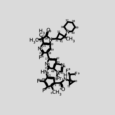 Cc1c(C(=O)NC2(C(F)F)CC2)cc(Nc2nc(-c3cc4c(nc3F)C(C)(C)C(=O)N4C3CC(C)(N4CCCCC4)C3)cc3ncn(C(C)C)c23)c(F)c1F